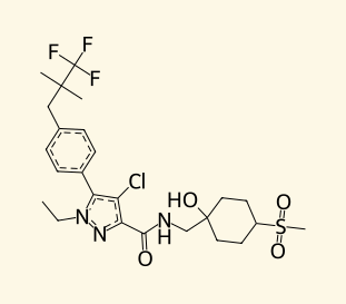 CCn1nc(C(=O)NCC2(O)CCC(S(C)(=O)=O)CC2)c(Cl)c1-c1ccc(CC(C)(C)C(F)(F)F)cc1